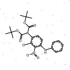 CC(C)(C)OC(=O)N(C(=O)OC(C)(C)C)c1ccc(Nc2cc[c]cc2)c([N+](=O)[O-])c1Cl